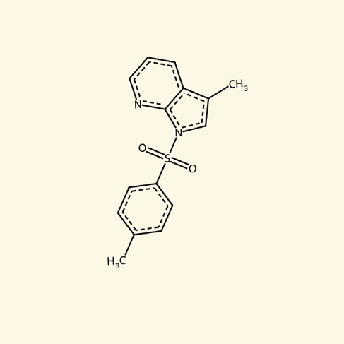 Cc1ccc(S(=O)(=O)n2cc(C)c3cccnc32)cc1